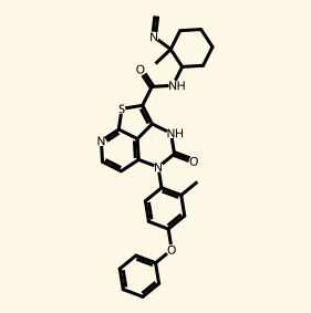 C=NC1(C)CCCCC1NC(=O)c1sc2nccc3c2c1NC(=O)N3c1ccc(Oc2ccccc2)cc1C